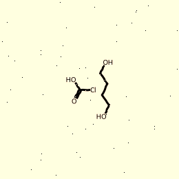 O=C(O)Cl.OCCCCO